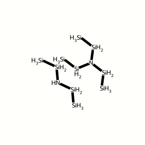 [SiH3][SiH2]N([SiH2][SiH3])[SiH2][SiH3].[SiH3][SiH2]N[SiH2][SiH3]